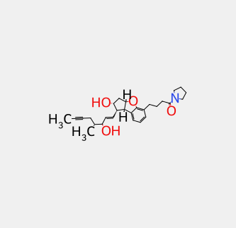 CC#CC[C@@H](C)[C@H](O)/C=C/[C@@H]1[C@H]2c3cccc(CCCC(=O)N4CCCC4)c3O[C@H]2C[C@H]1O